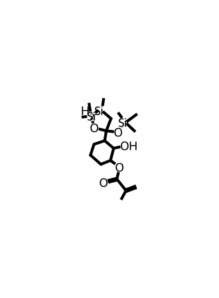 C=C(C)C(=O)OC1CCCC(C(C[SiH2]C)(O[Si](C)(C)C)O[Si](C)(C)C)C1O